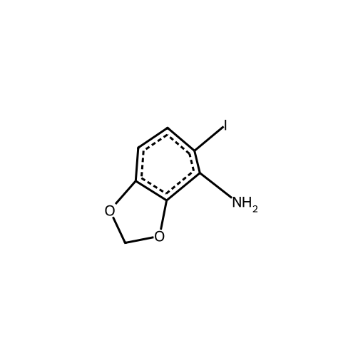 Nc1c(I)ccc2c1OCO2